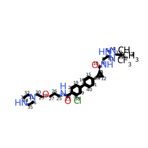 CC(C)(c1n[nH]c(CNC(=O)[C@H]2C[C@@H]2c2ccc(-c3ccc(C(=O)NCCCOCCN4CCNCC4)c(Cl)c3)cc2)n1)C(F)(F)F